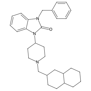 O=c1n(Cc2ccccc2)c2ccccc2n1C1CCN(CC2CCC3CCCCC3C2)CC1